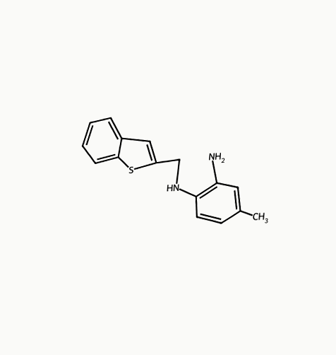 Cc1ccc(NCc2cc3ccccc3s2)c(N)c1